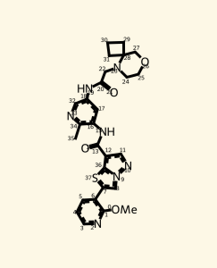 COc1ncccc1-c1cn2ncc(C(=O)Nc3cc(NC(=O)CN4CCOCC45CCC5)cnc3C)c2s1